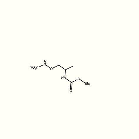 CC(CONC(=O)O)NC(=O)OC(C)(C)C